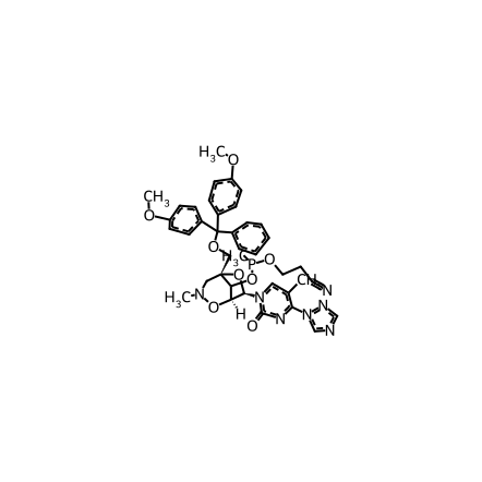 COc1ccc(C(OC[C@]23CN(C)O[C@@H](C2OP(C)OCCC#N)[C@H](n2cc(C)c(-n4cncn4)nc2=O)O3)(c2ccccc2)c2ccc(OC)cc2)cc1